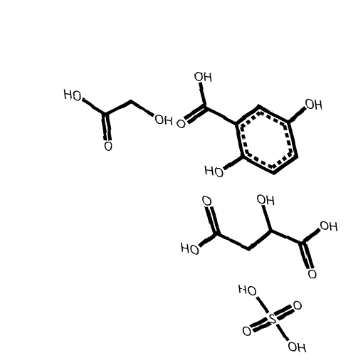 O=C(O)CC(O)C(=O)O.O=C(O)CO.O=C(O)c1cc(O)ccc1O.O=S(=O)(O)O